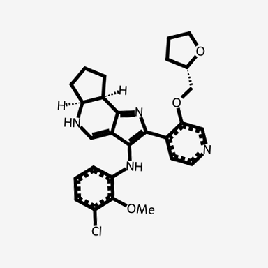 COc1c(Cl)cccc1NC1=C(c2ccncc2OC[C@@H]2CCCO2)N=C2C1=CN[C@H]1CCC[C@@H]21